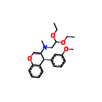 CCOC(CN(C)C1=COc2ccccc2C1c1cccc(OC)c1)OCC